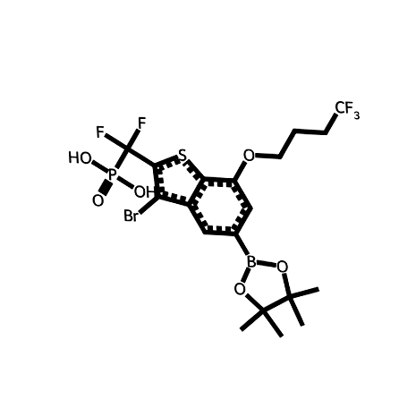 CC1(C)OB(c2cc(OCCCC(F)(F)F)c3sc(C(F)(F)P(=O)(O)O)c(Br)c3c2)OC1(C)C